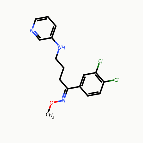 CO/N=C(\CCCNc1cccnc1)c1ccc(Cl)c(Cl)c1